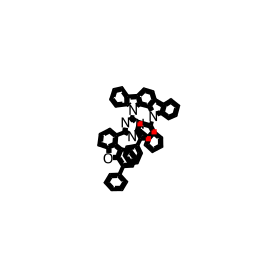 c1ccc(-c2ccc(-n3c4ccccc4c4ccc5c6ccccc6n(-c6nc(-c7ccccc7)nc(-c7cccc8oc9c(-c%10ccccc%10)cccc9c78)n6)c5c43)cc2)cc1